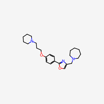 c1cc(-c2nc(CN3CCCCCC3)co2)ccc1OCCCN1CCCCC1